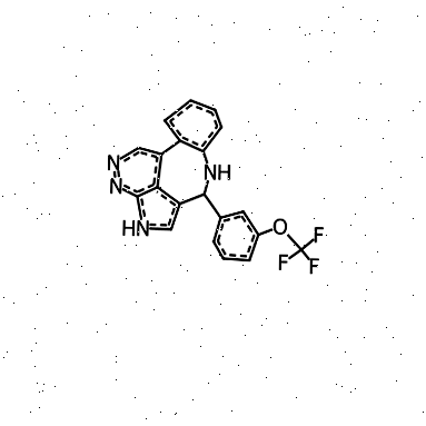 FC(F)(F)Oc1cccc(C2Nc3ccccc3-c3cnnc4[nH]cc2c34)c1